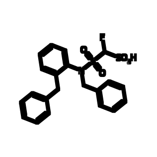 O=S(=O)(O)C(F)S(=O)(=O)N(Cc1ccccc1)c1ccccc1Cc1ccccc1